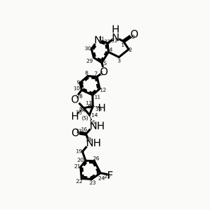 O=C1CCc2c(Oc3ccc4c(c3)[C@H]3[C@H](NC(=O)NCc5cccc(F)c5)[C@H]3O4)ccnc2N1